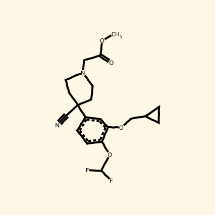 COC(=O)CN1CCC(C#N)(c2ccc(OC(F)F)c(OCC3CC3)c2)CC1